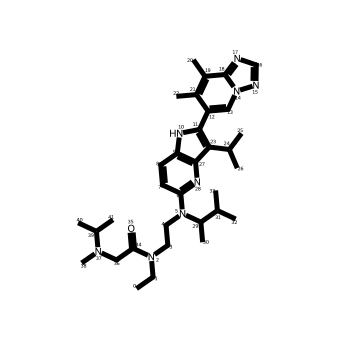 CCN(CCN(c1ccc2[nH]c(-c3cn4ncnc4c(C)c3C)c(C(C)C)c2n1)C(C)C(C)C)C(=O)CN(C)C(C)C